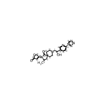 C[C@H]1CC2(CCN(C[C@@H](O)c3ccc(-n4cnnn4)nc3)CC2)C(=O)N1C1=CC(=O)OC1